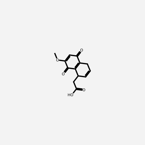 COC1=CC(=O)C2=C(C1=O)C(CC(=O)O)C=CC2